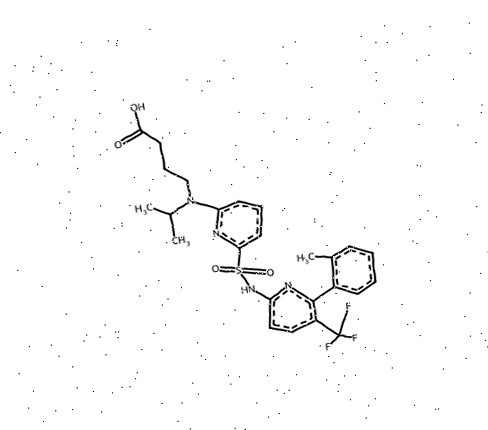 Cc1ccccc1-c1nc(NS(=O)(=O)c2cccc(N(CCCC(=O)O)C(C)C)n2)ccc1C(F)(F)F